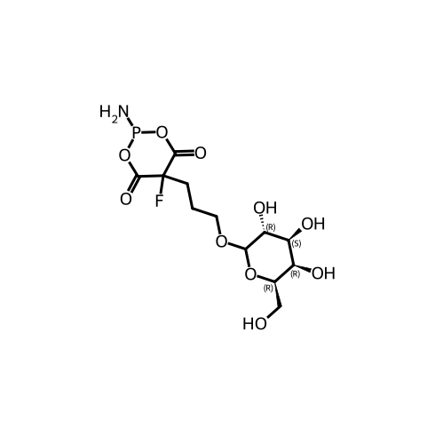 NP1OC(=O)C(F)(CCCOC2O[C@H](CO)[C@H](O)[C@H](O)[C@H]2O)C(=O)O1